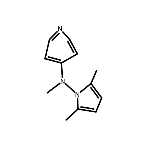 Cc1ccc(C)n1N(C)c1ccncc1